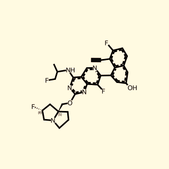 C#Cc1c(F)ccc2cc(O)cc(-c3ncc4c(NC(C)CF)nc(OC[C@@]56CCCN5C[C@H](F)C6)nc4c3F)c12